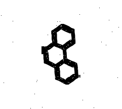 [c]1ccc2cnc3ccccc3c2c1